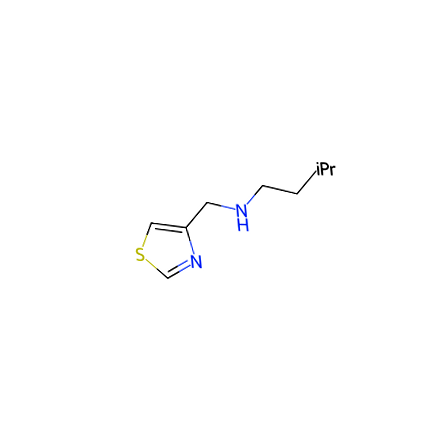 CC(C)CCNCc1cscn1